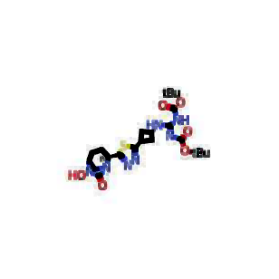 CC(C)(C)OC(=O)N=C(NC(=O)OC(C)(C)C)N[C@H]1C[C@@H](c2nnc([C@@H]3CCC4CN3C(=O)N4O)s2)C1